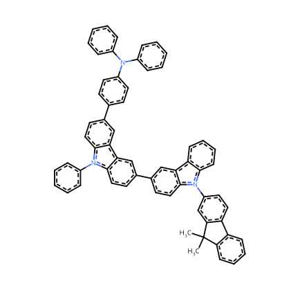 CC1(C)c2ccccc2-c2ccc(-n3c4ccccc4c4cc(-c5ccc6c(c5)c5cc(-c7ccc(N(c8ccccc8)c8ccccc8)cc7)ccc5n6-c5ccccc5)ccc43)cc21